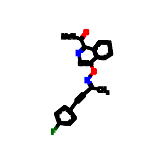 CNC(=O)/C(=N/OC)c1ccccc1CO/N=C(\C)C#Cc1ccc(F)cc1